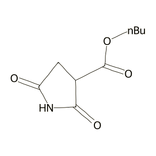 CCCCOC(=O)C1CC(=O)NC1=O